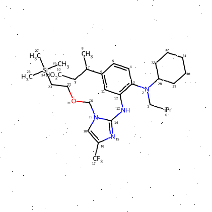 CC(C)CN(c1ccc(C(C)CC(=O)O)cc1Nc1nc(C(F)(F)F)cn1COCC[Si](C)(C)C)C1CCCCC1